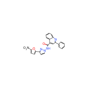 O=C(Nn1ccc(-c2ccc([N+](=O)[O-])o2)n1)c1cc(-c2ccccc2)nc2ccccc12